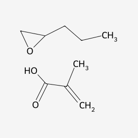 C=C(C)C(=O)O.CCCC1CO1